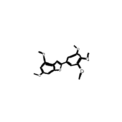 COc1cc(OC)c2cc(-c3cc(OC)c(OC)c(OC)c3)oc2c1